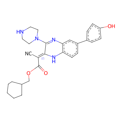 N#C/C(C(=O)OCC1CCCCC1)=C1/Nc2ccc(-c3ccc(O)cc3)cc2N=C1N1CCNCC1